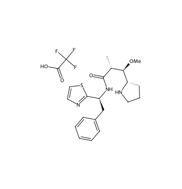 CO[C@@H]([C@@H]1CCCN1)[C@@H](C)C(=O)N[C@@H](Cc1ccccc1)c1nccs1.O=C(O)C(F)(F)F